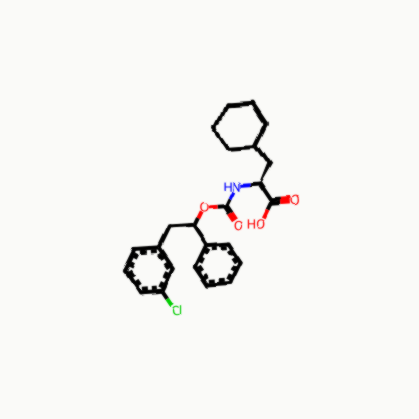 O=C(N[C@@H](CC1CCCCC1)C(=O)O)OC(Cc1cccc(Cl)c1)c1ccccc1